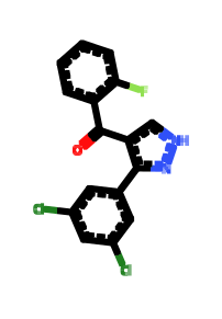 O=C(c1ccccc1F)c1c[nH]nc1-c1cc(Cl)cc(Cl)c1